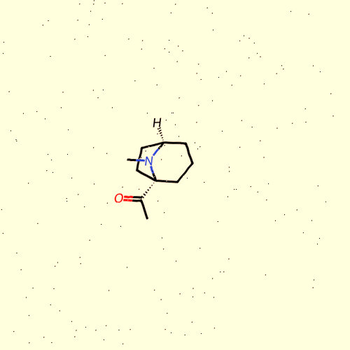 CC(=O)[C@]12CCC[C@H](CC1)N2C